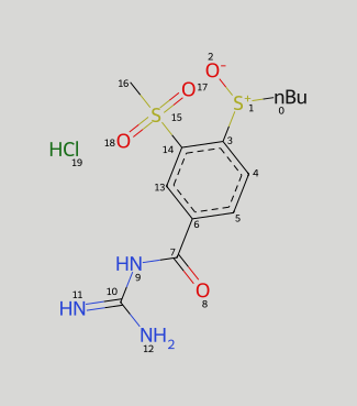 CCCC[S+]([O-])c1ccc(C(=O)NC(=N)N)cc1S(C)(=O)=O.Cl